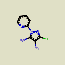 Nc1c(Cl)nn(-c2ccccn2)c1N